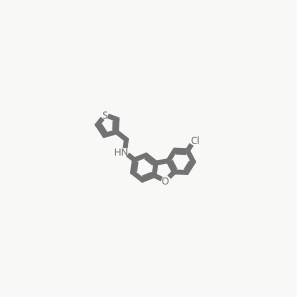 Clc1ccc2oc3ccc(NCc4ccsc4)cc3c2c1